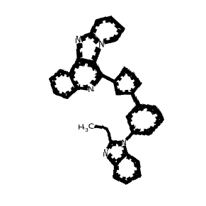 CCc1nc2ccccc2n1-c1cccc(-c2cccc(-c3nc4ccccc4c4nc5ccccn5c34)c2)c1